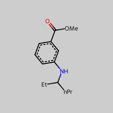 CCCC(CC)Nc1cccc(C(=O)OC)c1